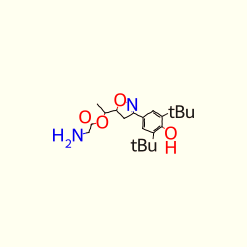 CC(OC(=O)CN)C1CC(c2cc(C(C)(C)C)c(O)c(C(C)(C)C)c2)=NO1